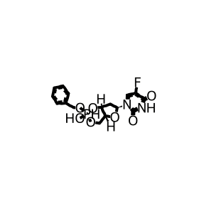 O=c1[nH]c(=O)n([C@H]2C[C@@H]3O[PH](O)(OCc4ccccc4)OC[C@H]3O2)cc1F